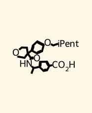 CCCC(C)COc1ccc(C2(C(=O)NC(C)c3ccc(C(=O)O)cc3)CCOCC2)cc1